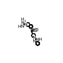 Cl.Cl.N=C(N)N1CCc2ccc(OCC3CCN(c4nc5ccccc5[nH]4)CC3)cc2C1